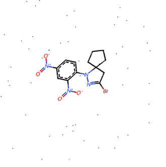 O=[N+]([O-])c1ccc(N2N=C(Br)CC23CCCC3)c([N+](=O)[O-])c1